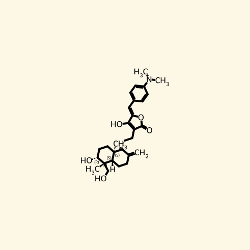 C=C1CC[C@@H]2[C@](C)(CO)[C@H](O)CC[C@@]2(C)[C@@H]1CCC1=C(O)C(=Cc2ccc(N(C)C)cc2)OC1=O